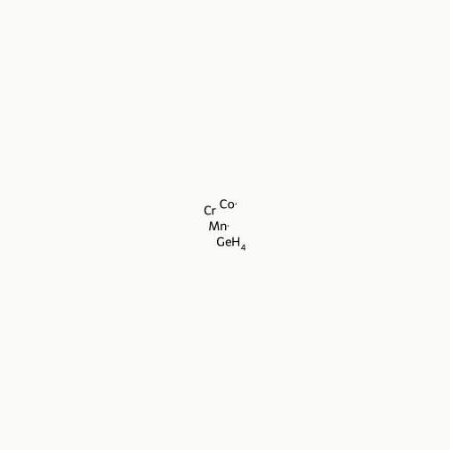 [Co].[Cr].[GeH4].[Mn]